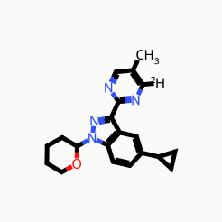 [2H]c1nc(-c2nn(C3CCCCO3)c3ccc(C4CC4)cc23)ncc1C